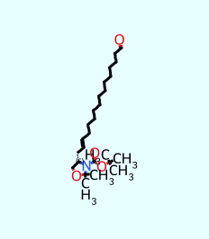 CC(C)(C)OC(=O)N1[C@@H](CC=CCCCCCCCCCCCCC=O)COC1(C)C